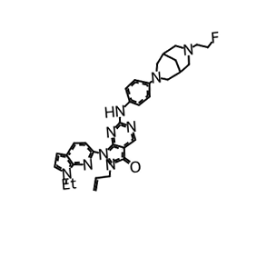 C=CCn1c(=O)c2cnc(Nc3ccc(N4CC5CC(CN(CCF)C5)C4)cc3)nc2n1-c1ccc2ccn(CC)c2n1